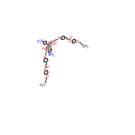 CCCCCOc1ccc(OC(=O)C=Cc2ccc(OCCCCCCC(CCCCCCOc3ccc(C=CC(=O)Oc4ccc(OCCCCC)cc4)cc3)(c3ccc(N)cc3)C(Cc3ccc(N)cc3)(C(=O)O)C(=O)O)cc2)cc1